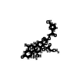 CCC(=O)O[C@]1(OC(=O)OCC(=O)c2ccc(Cl)s2)[C@H](C)C[C@H]2[C@@H]3C[C@H](F)C4=CC(=O)C=C[C@]4(C)[C@@]3(F)[C@@H](O)C[C@@]21C